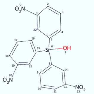 O=[N+]([O-])c1cccc([Si](O)(c2cccc([N+](=O)[O-])c2)c2cccc([N+](=O)[O-])c2)c1